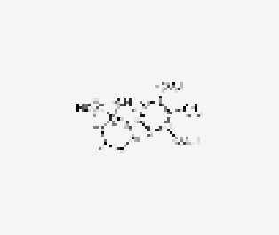 Cc1c(C(=O)O)cccc1C(=O)O.NC1(C(=O)O)CCCCC1